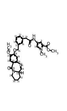 COC(=O)c1cc(NC(=O)Cc2cccc(COc3cc4c(cc3OC)C(=O)N3CCCC[C@H]3C=N4)c2)cn1C